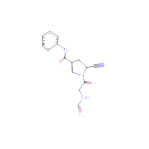 N#CC1CC(C(=O)Nc2ccccc2)CN1C(=O)CNC=O